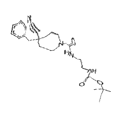 CC(C)(C)OC(=O)NCCNC(=O)N1CCC(C#N)(Cc2ccccc2)CC1